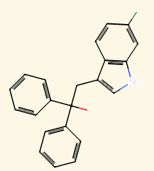 OC(Cc1c[nH]c2cc(Cl)ccc12)(c1ccccc1)c1ccccc1